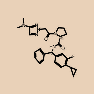 CN(C)c1cnn(CC(=O)N2CCC[C@H]2C(=O)N[C@@H](c2ccccc2)c2ccc(C3CC3)c(F)c2)n1